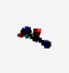 COc1ccc2nccc([C@H](F)CC[C@@H]3CCN(CCCCc4ncccn4)C[C@@H]3CC(=O)O)c2c1